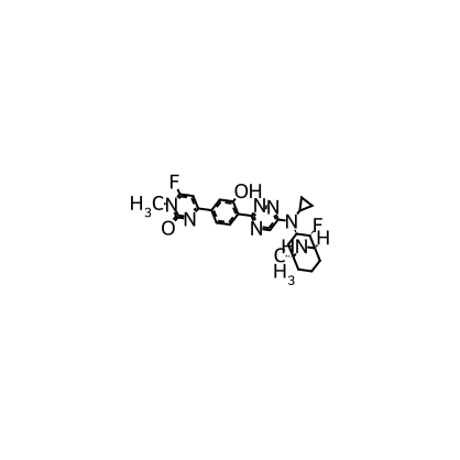 Cn1c(F)cc(-c2ccc(-c3ncc(N(C4CC4)[C@H]4C[C@]5(C)CCC[C@@H](N5)[C@H]4F)nn3)c(O)c2)nc1=O